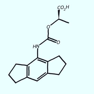 C[C@@H](OC(=O)Nc1c2c(cc3c1CCC3)CCC2)C(=O)O